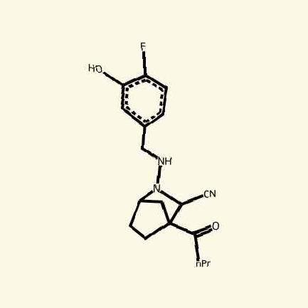 CCCC(=O)C12CCC(C1)N(NCc1ccc(F)c(O)c1)C2C#N